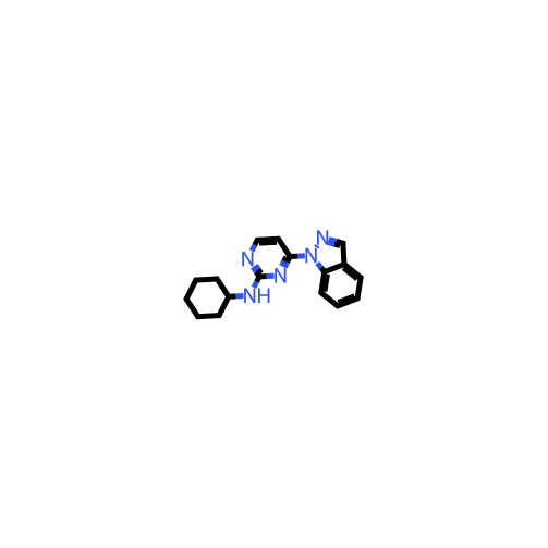 c1ccc2c(c1)cnn2-c1ccnc(NC2CCCCC2)n1